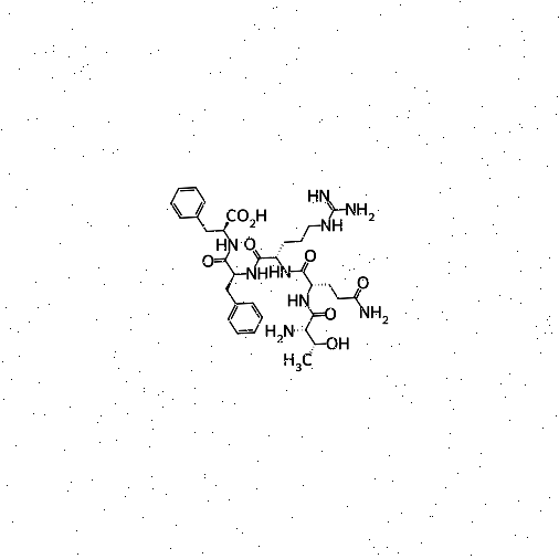 C[C@@H](O)[C@H](N)C(=O)N[C@@H](CCC(N)=O)C(=O)N[C@@H](CCCNC(=N)N)C(=O)N[C@@H](Cc1ccccc1)C(=O)N[C@@H](Cc1ccccc1)C(=O)O